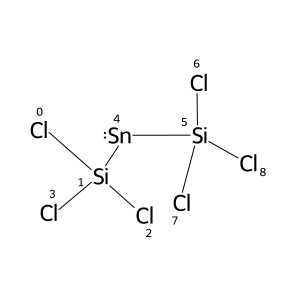 Cl[Si](Cl)(Cl)[Sn][Si](Cl)(Cl)Cl